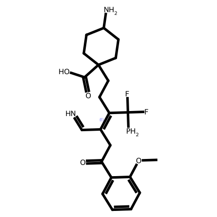 COc1ccccc1C(=O)C/C(C=N)=C(/CCC1(C(=O)O)CCC(N)CC1)C(F)(F)P